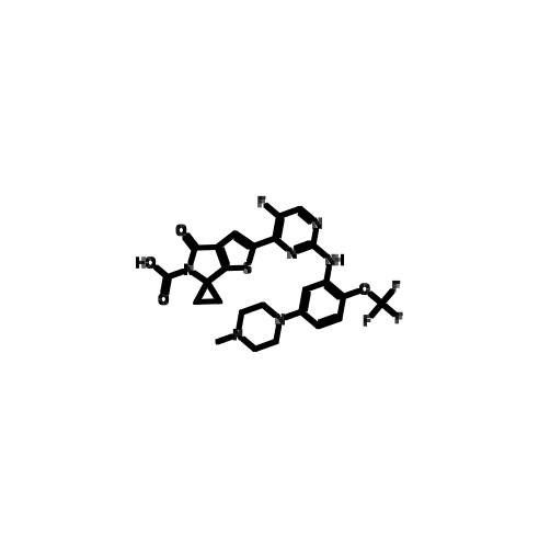 CN1CCN(c2ccc(OC(F)(F)F)c(Nc3ncc(F)c(-c4cc5c(s4)C4(CC4)N(C(=O)O)C5=O)n3)c2)CC1